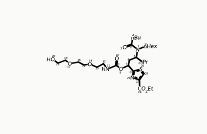 CCCCCCN(C(=O)CCCC)C(CC(OC(=O)NCCOCCOCCO)c1nc(C(=O)OCC)cs1)C(C)C